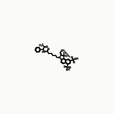 C/C=C1/N(CCCCCC(=O)NC(C(C)=O)c2ccccc2)c2ccc3c(S(=O)(=O)O)cc(S(=O)(=O)O)cc3c2C1(C)C